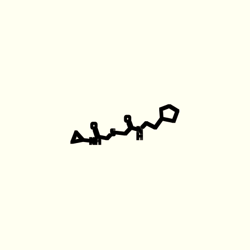 O=C(CSCC(=O)NC1CC1)NCCC1CCCC1